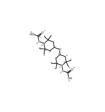 CC1(C)CC([N]C2CC(C)(C)N(OC(=O)O)C(C)(C)C2)CC(C)(C)N1OC(=O)O